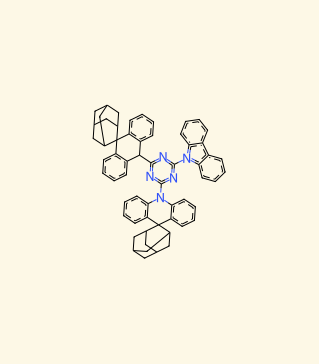 c1ccc2c(c1)C(c1nc(N3c4ccccc4C4(c5ccccc53)C3CC5CC(C3)CC4C5)nc(-n3c4ccccc4c4ccccc43)n1)c1ccccc1C21C2CC3CC(C2)CC1C3